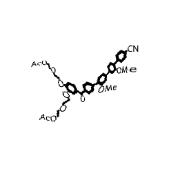 COc1cc(-c2ccc(-c3ccc(C(=O)c4ccc(OCCOCCOC(C)=O)c(OCCOCCOC(C)=O)c4)cc3)c(OC)c2)ccc1-c1ccc(C#N)cc1